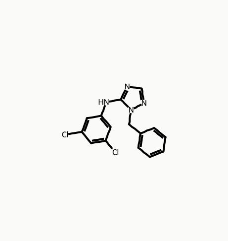 Clc1cc(Cl)cc(Nc2ncnn2Cc2ccccc2)c1